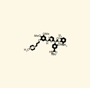 CCCCNC(=O)c1ccc(N(C(=O)Oc2c(C)cccc2C)c2ccnc(Nc3cc(OC)c(OC)c(OCCCN4CCN(C)CC4)c3)n2)c(OC)c1